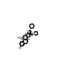 C[C@]12C=CC(=O)C=C1CC[C@@H]1[C@@H]2[C@@H](O)C[C@@]2(C)[C@H]1C[C@@H]1O[C@@H](C3CCCCC3)O[C@]12C(=O)CN1CCCC1